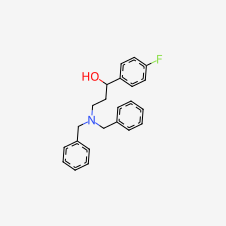 OC(CCN(Cc1ccccc1)Cc1ccccc1)c1ccc(F)cc1